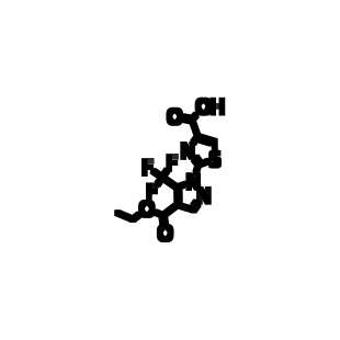 CCOC(=O)c1cnn(-c2nc(C(=O)O)cs2)c1C(F)(F)F